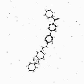 C=C(c1ccc(-c2ccc(CCC3CCN(CC4(C(F)(F)F)CCCCC4)CC3)nc2)cc1)N1CCCCC1